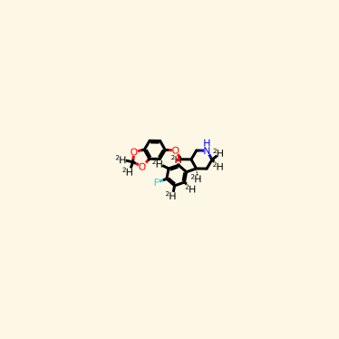 [2H]c1c([2H])c([C@]2([2H])CC([2H])([2H])NCC2COc2ccc3c(c2)OC([2H])([2H])O3)c([2H])c([2H])c1F